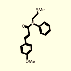 COc1ccc(/C=C/C(=O)N(CCSC)c2ccccc2)cc1